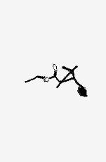 C=CC1C(C)(C)C1(C)C(=O)OCC